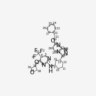 FC(F)(F)c1cnc(N[C@@H]2CCC[C@H](c3nnc4nc(OCc5ccccc5)ccn34)C2)nc1OC1COC1